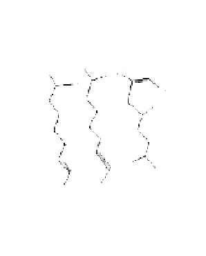 CC(=CO)CC(O)CCC(C)C.CC(O)CCCCC=CO.CC(O)CCCCC=CO